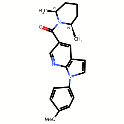 COc1ccc(-n2ccc3cc(C(=O)N4[C@H](C)CCC[C@@H]4C)cnc32)cc1